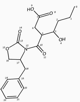 CCCC(O)C(CC(=O)O)C(=O)N1C(=O)OCC1Cc1ccccc1